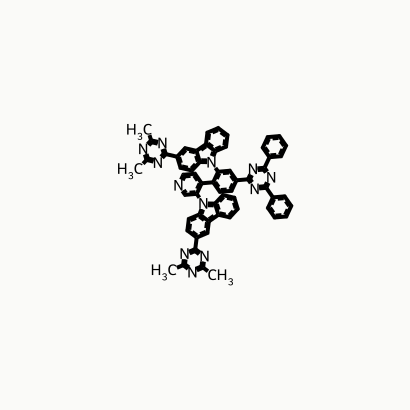 Cc1nc(C)nc(-c2ccc3c(c2)c2ccccc2n3-c2cnccc2-c2ccc(-c3nc(-c4ccccc4)nc(-c4ccccc4)n3)cc2-n2c3ccccc3c3cc(-c4nc(C)nc(C)n4)ccc32)n1